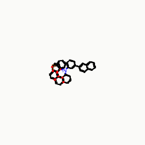 c1ccc(-c2ccccc2N(c2cccc(-c3ccc4ccccc4c3)c2)c2ccccc2-c2cccc3sc4ccccc4c23)cc1